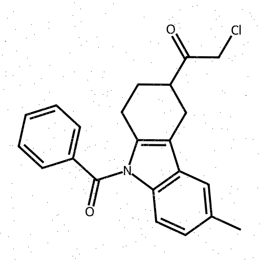 Cc1ccc2c(c1)c1c(n2C(=O)c2ccccc2)CCC(C(=O)CCl)C1